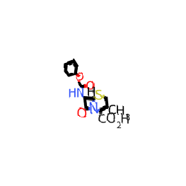 CC1=C(C(=O)O)N2C(=O)[C@@H](NC(=O)COc3ccccc3)[C@H]2SC1